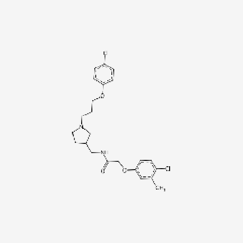 Cc1cc(OCC(=O)NCC2CCN(CCCOc3ccc(Cl)cc3)C2)ccc1Cl